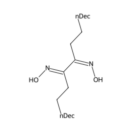 CCCCCCCCCCCCC(=NO)C(CCCCCCCCCCCC)=NO